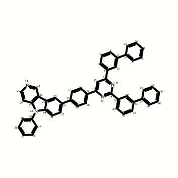 c1ccc(-c2cccc(-c3cc(-c4ccc(-c5ccc6c(c5)c5cnccc5n6-c5ccccc5)cc4)nc(-c4cccc(-c5ccccc5)c4)n3)c2)cc1